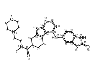 CN(CCN1CCOCC1)C(=O)C1CCc2c(sc3ncnc(Nc4ccc5[nH]c(=O)sc5c4)c23)C1